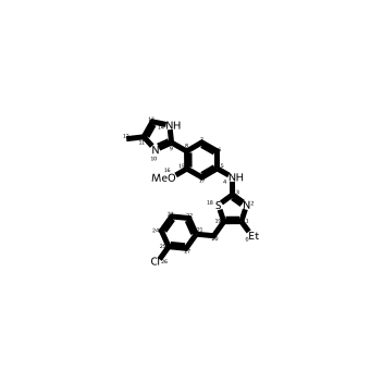 CCc1nc(Nc2ccc(-c3nc(C)c[nH]3)c(OC)c2)sc1Cc1cccc(Cl)c1